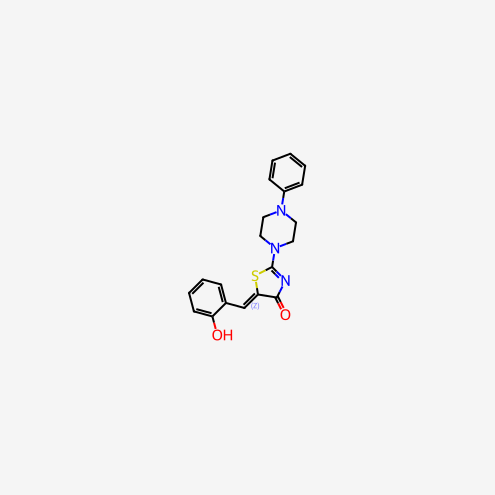 O=C1N=C(N2CCN(c3ccccc3)CC2)S/C1=C\c1ccccc1O